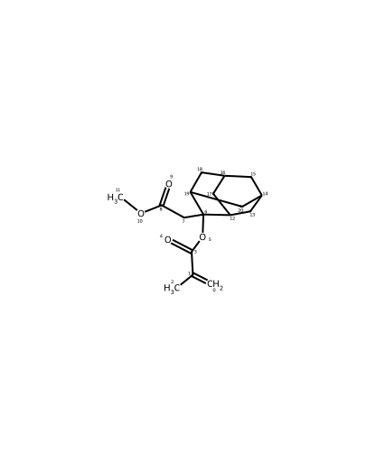 C=C(C)C(=O)OC1(CC(=O)OC)C2CC3CC(C2)CC1C3